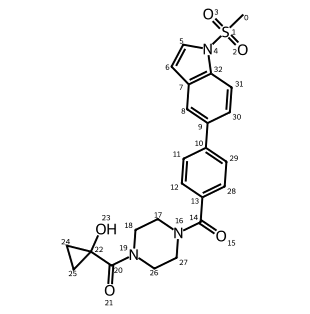 CS(=O)(=O)n1ccc2cc(-c3ccc(C(=O)N4CCN(C(=O)C5(O)CC5)CC4)cc3)ccc21